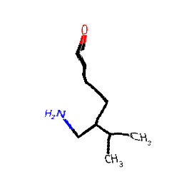 CC(C)C(CN)CCCC=O